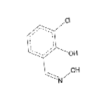 O/N=C\c1cccc(Cl)c1O